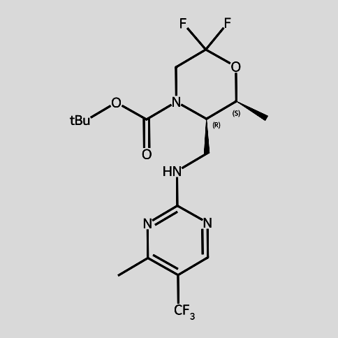 Cc1nc(NC[C@@H]2[C@H](C)OC(F)(F)CN2C(=O)OC(C)(C)C)ncc1C(F)(F)F